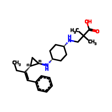 CCC(=Cc1ccccc1)[C@@H]1C[C@H]1N[C@H]1CC[C@@H](NCC(C)(C)C(=O)O)CC1